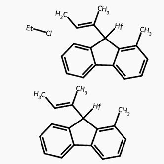 CC=C(C)[C]1([Hf])c2ccccc2-c2cccc(C)c21.CC=C(C)[C]1([Hf])c2ccccc2-c2cccc(C)c21.CCCl